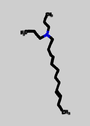 CCC=CCCCCCCCN(CCC)CCC